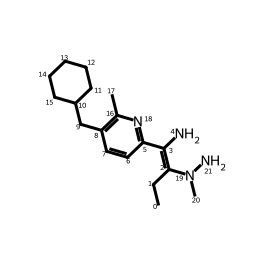 CC/C(=C(/N)c1ccc(CC2CCCCC2)c(C)n1)N(C)N